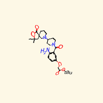 CC(C)(C)OC(=O)COc1ccc(N)c(C(=O)N2CCC(N3CCCC4(C3)CC(C)(C)OC4=O)CC2)c1